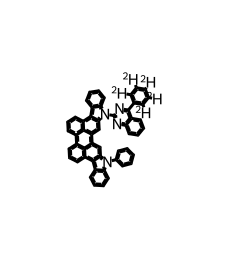 [2H]c1c([2H])c([2H])c(-c2nc(-n3c4ccccc4c4c5cccc6c7cccc8c7c(cc7c8c8ccccc8n7-c7ccccc7)c(cc43)c65)nc3ccccc23)c([2H])c1[2H]